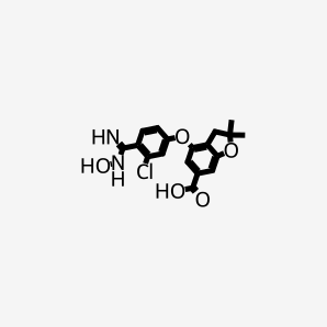 CC1(C)Cc2c(Oc3ccc(C(=N)NO)c(Cl)c3)cc(C(=O)O)cc2O1